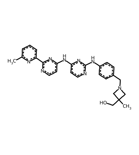 Cc1cccc(-c2nccc(Nc3ccnc(Nc4ccc(CN5CC(C)(CO)C5)cc4)n3)n2)n1